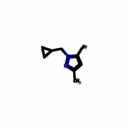 Cc1cc(C(C)C)n(CC2CC2)n1